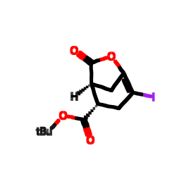 CC(C)(C)OC(=O)[C@H]1CC(I)=C2C[C@@H]1C(=O)O2